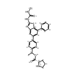 CCNC(=O)Nc1nc2cc(-c3cnc(C(C)OC(=O)[C@@H]4CCCN4)nc3)cc(-c3ccccn3)c2s1